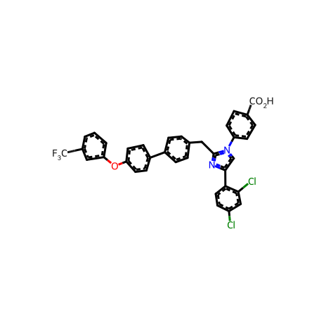 O=C(O)c1ccc(-n2cc(-c3ccc(Cl)cc3Cl)nc2Cc2ccc(-c3ccc(Oc4cccc(C(F)(F)F)c4)cc3)cc2)cc1